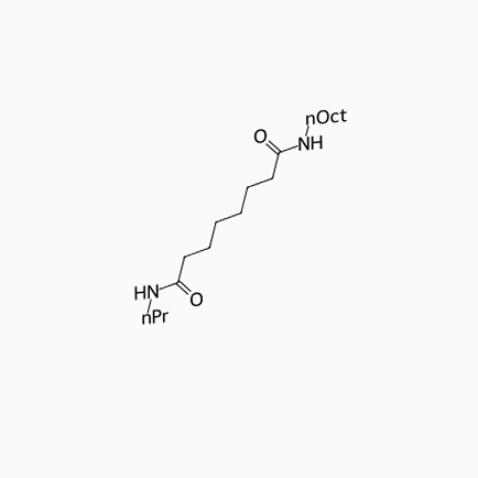 CCCCCCCCNC(=O)CCCCCCC(=O)NCCC